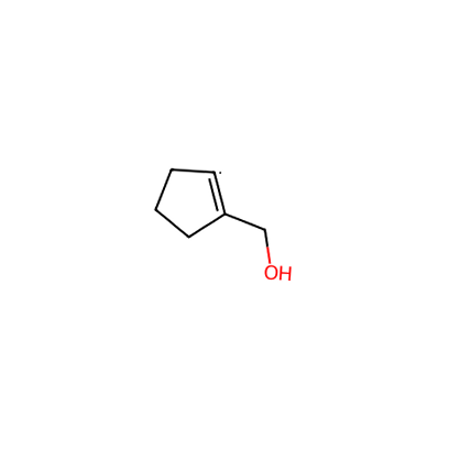 OCC1=[C]CCC1